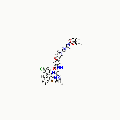 Cc1sc2c(c1C)C(c1ccc(Cl)cc1)=N[C@@H](CC(=O)Nc1ccc(OC3CCN(C4CN(C5CN(C(=O)OC(C)(C)C)C5)C4)CC3)cc1)c1nnc(C)n1-2